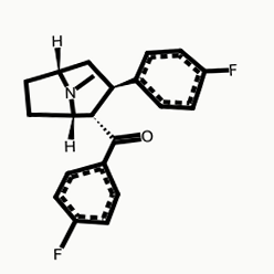 CN1[C@@H]2CC[C@H]1[C@@H](C(=O)c1ccc(F)cc1)[C@H](c1ccc(F)cc1)C2